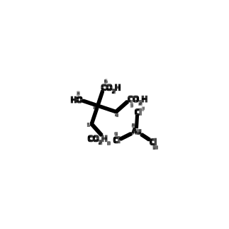 O=C(O)CC(O)(CC(=O)O)C(=O)O.[Cl][Au]([Cl])[Cl]